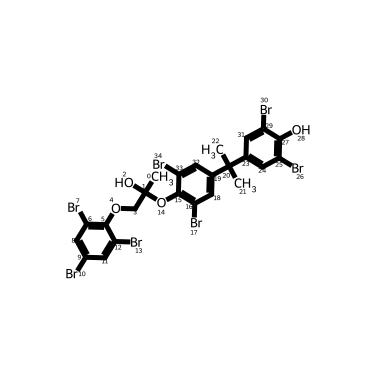 CC(O)(COc1c(Br)cc(Br)cc1Br)Oc1c(Br)cc(C(C)(C)c2cc(Br)c(O)c(Br)c2)cc1Br